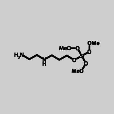 COO[Si](OCCCNCCN)(OOC)OOC